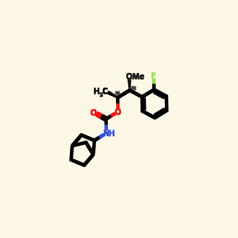 CO[C@@H](c1ccccc1F)[C@H](C)OC(=O)NC1CC2CCC1C2